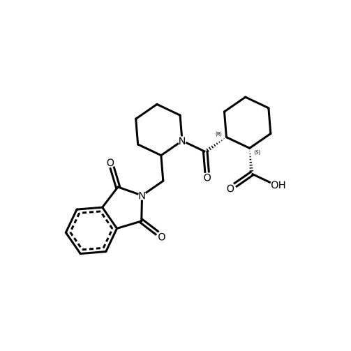 O=C(O)[C@H]1CCCC[C@H]1C(=O)N1CCCCC1CN1C(=O)c2ccccc2C1=O